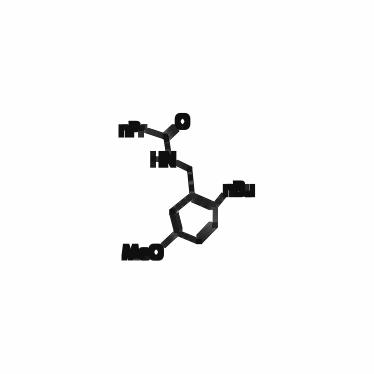 CCCCc1ccc(OC)cc1CNC(=O)CCC